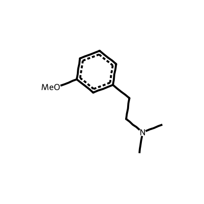 COc1cccc(CCN(C)C)c1